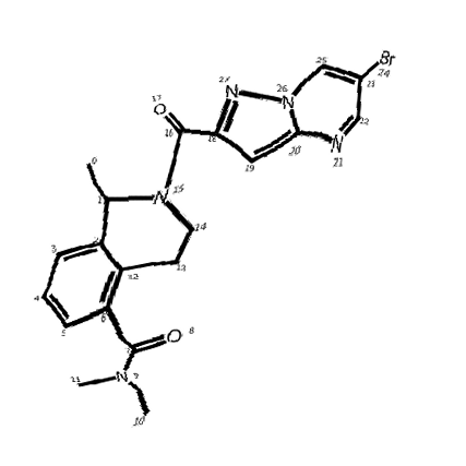 CC1c2cccc(C(=O)N(C)C)c2CCN1C(=O)c1cc2ncc(Br)cn2n1